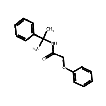 CC(C)(NC(=O)COc1ccccc1)c1ccccc1